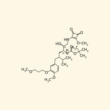 COCCCOc1cc(CC(C[C@H](NC(=O)OC(C)(C)C)[C@@H](O)CNc2c(OC)c(=O)c2=O)C(C)C)ccc1OC